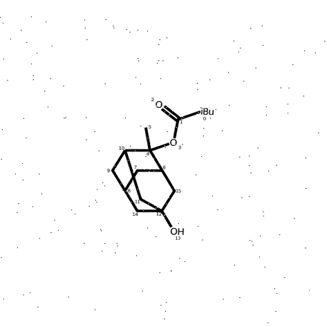 CCC(C)C(=O)OC1(C)C2CC3CC1CC(O)(C3)C2